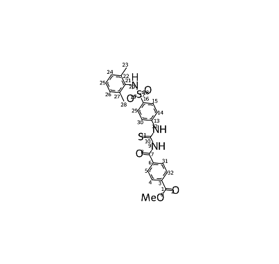 COC(=O)c1ccc(C(=O)NC(=S)Nc2ccc(S(=O)(=O)Nc3c(C)cccc3C)cc2)cc1